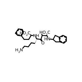 NCCCC[C@H](NC(CCc1ccccc1)C(=O)O)C(=O)C(CNC1Cc2ccccc2C1)C(=O)O